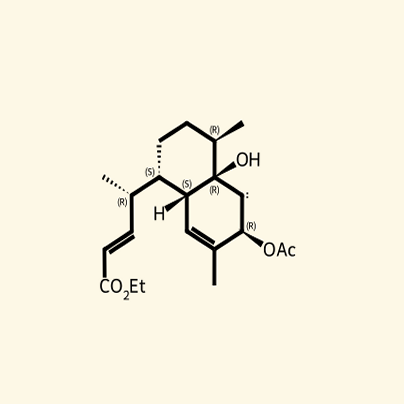 CCOC(=O)C=C[C@H](C)[C@@H]1CC[C@@H](C)[C@]2(O)[C][C@@H](OC(C)=O)C(C)=C[C@H]12